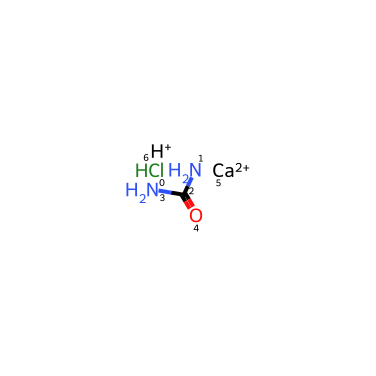 Cl.NC(N)=O.[Ca+2].[H+]